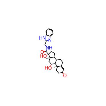 CC12CCC(=O)C=C1CCC1C2[C@@H](O)CC2(C)C1CC[C@]2(O)C(=O)NCc1nc2ccccc2[nH]1